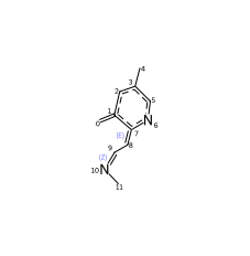 C=c1cc(C)cn/c1=C/C=N\C